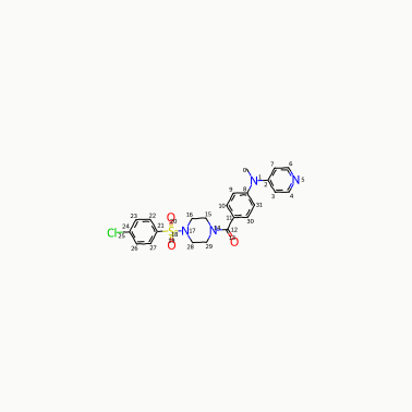 CN(c1ccncc1)c1ccc(C(=O)N2CCN(S(=O)(=O)c3ccc(Cl)cc3)CC2)cc1